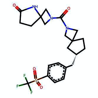 O=C1CCC2(CN(C(=O)N3CC4(CC[C@H](Cc5ccc(S(=O)(=O)C(F)(F)F)cc5)C4)C3)C2)N1